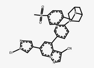 CCn1cc(-c2cc(-c3ccc(N4CC5CC(C4)N5Cc4ccc(S(C)(=O)=O)cc4)nc3)c3c(C#N)cnn3c2)cn1